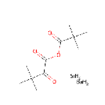 CC(C)(C)C(=O)OC(=O)C(=O)C(C)(C)C.[BaH2].[SrH2]